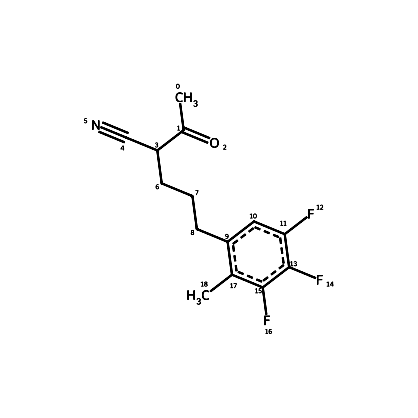 CC(=O)C(C#N)CCCc1cc(F)c(F)c(F)c1C